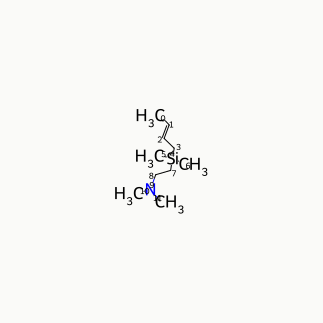 C/C=C/C[Si](C)(C)CCN(C)C